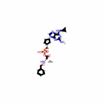 CC[C@H](C)[C@H](NOCc1ccccc1)C(=O)OP(=O)(O)OC[C@@H]1C=C[C@H](n2cnc3c(NC4CC4)nc(N)nc32)C1